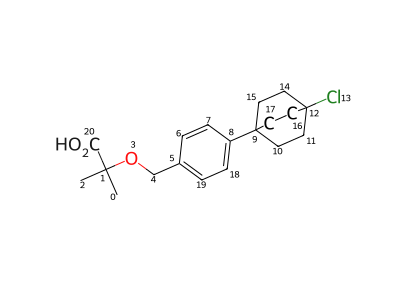 CC(C)(OCc1ccc(C23CCC(Cl)(CC2)CC3)cc1)C(=O)O